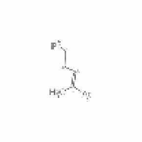 CC(=O)/C(C)=C/CCC(C)C